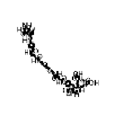 C[C@H](CCC(=O)NCCOCCOCCNC(=O)CCC(=O)Nc1ccc(CC(CN2CCN(CC(=O)O)CCN(CC(=O)O)CC2)N(CC(=O)O)CC(=O)O)cc1)NC(=O)c1ccc(NCc2cnc3nc(N)[nH]c(=O)c3n2)cc1